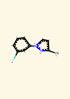 N#Cc1ccn(-c2cc[c]c(F)c2)n1